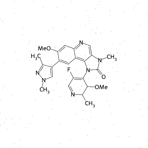 COc1cc2ncc3c(c2cc1-c1cn(C)nc1C)n(C1=C(F)C=NC(C)C1OC)c(=O)n3C